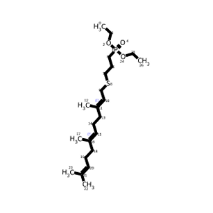 CCOP(=O)(CCCSC/C=C(\C)CC/C=C(\C)CCC=C(C)C)OCC